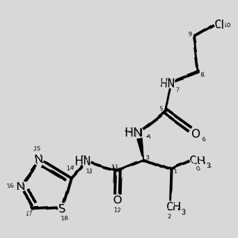 CC(C)[C@H](NC(=O)NCCCl)C(=O)Nc1nncs1